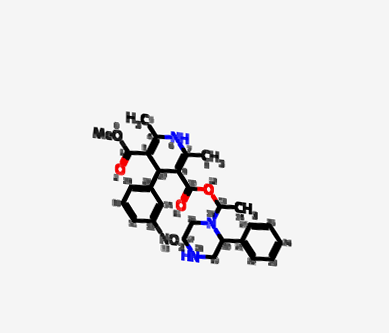 COC(=O)C1=C(C)NC(C)=C(C(=O)OC(C)N2CCNCC2c2ccccc2)C1c1cccc([N+](=O)[O-])c1